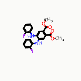 COC(=O)c1cc(Nc2ccccc2I)c(Nc2ccccc2I)cc1C(=O)OC